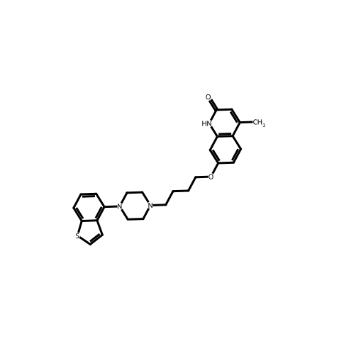 Cc1cc(=O)[nH]c2cc(OCCCCN3CCN(c4cccc5sccc45)CC3)ccc12